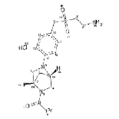 CC(C)C(=O)N1C[C@@H]2C[C@H]1CN2c1ccc(CS(=O)(=O)CCN)cc1.Cl